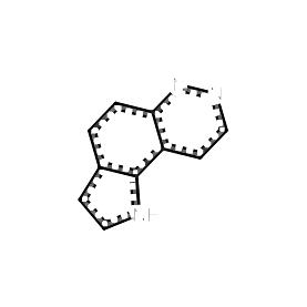 c1cc2c(ccc3cc[nH]c32)nn1